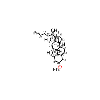 CCO[C@@H]1CC[C@]2(C)C(=CC[C@@H]3[C@H]4CC[C@@H]([C@@H](C)CCCC(C)C)[C@]4(C)CC[C@H]32)C1